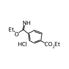 CCOC(=N)c1ccc(C(=O)OCC)cc1.Cl